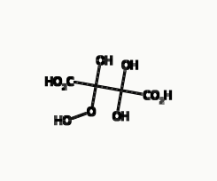 O=C(O)C(O)(O)C(O)(OO)C(=O)O